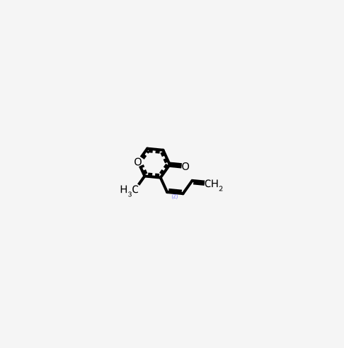 C=C/C=C\c1c(C)occc1=O